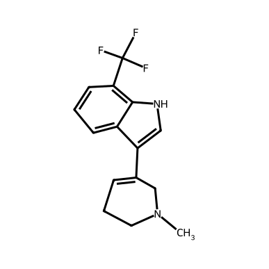 CN1CCC=C(c2c[nH]c3c(C(F)(F)F)cccc23)C1